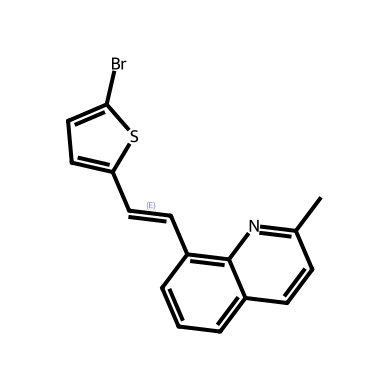 Cc1ccc2cccc(/C=C/c3ccc(Br)s3)c2n1